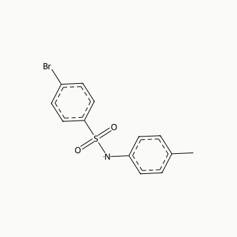 Cc1ccc([N]S(=O)(=O)c2ccc(Br)cc2)cc1